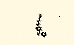 O=C(c1ccccc1)c1ccc(CCCCCCCl)cc1